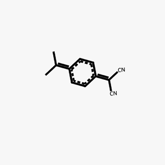 CC(C)=c1ccc(=C(C#N)C#N)cc1